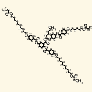 C=CC(=O)OCCCCCCCCCCOc1ccc(C(=O)Oc2ccc(OC(=O)c3ccc(OCCCCCCCCCCOC(=O)C=C)cc3)c(C(=O)OC(CCCCC)Oc3ccc(OC(=O)c4ccc(OCCCCCCOC(=O)C=C)cc4)cc3)c2)cc1